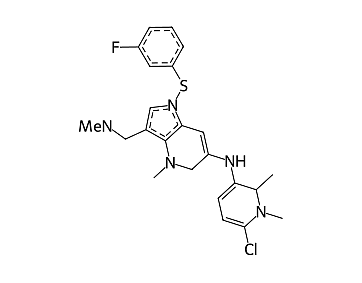 CNCc1cn(Sc2cccc(F)c2)c2c1N(C)CC(NC1=CC=C(Cl)N(C)C1C)=C2